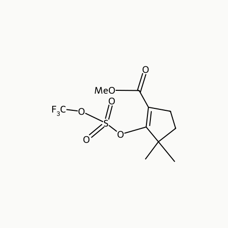 COC(=O)C1=C(OS(=O)(=O)OC(F)(F)F)C(C)(C)CC1